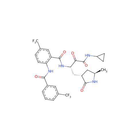 C[C@@H]1C[C@@H](C[C@H](NC(=O)c2cc(C(F)(F)F)ccc2NC(=O)c2cccc(C(F)(F)F)c2)C(=O)C(=O)NC2CC2)C(=O)N1